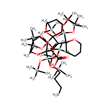 C[Si](C)(C)O[Si](O[Si](C)(C)C)(O[Si](C)(C)C)C1(C(C(=O)OCCC[SiH3])=C(C2([Si](O[Si](C)(C)C)(O[Si](C)(C)C)O[Si](C)(C)C)CCCCO2)C2([Si](O[Si](C)(C)C)(O[Si](C)(C)C)O[Si](C)(C)C)CCCCO2)CCCCO1